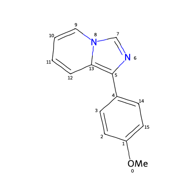 COc1ccc(-c2ncn3ccccc23)cc1